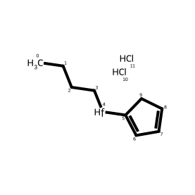 CCC[CH2][Hf][C]1=CC=CC1.Cl.Cl